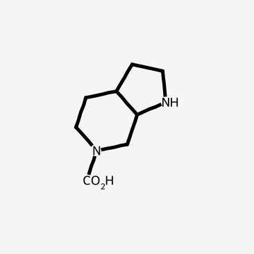 O=C(O)N1CCC2CCNC2C1